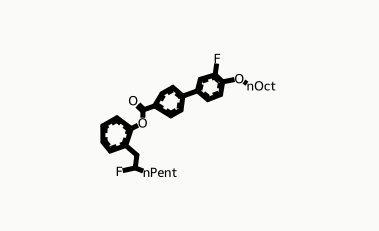 CCCCCCCCOc1ccc(-c2ccc(C(=O)Oc3ccccc3CC(F)CCCCC)cc2)cc1F